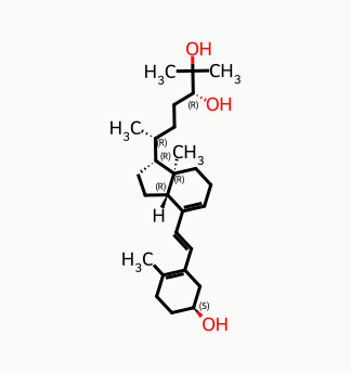 CC1=C(C=CC2=CCC[C@]3(C)[C@@H]([C@H](C)CC[C@@H](O)C(C)(C)O)CC[C@@H]23)C[C@@H](O)CC1